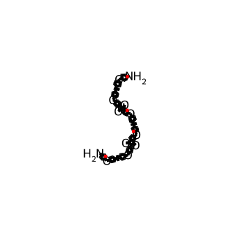 CC(C)(c1ccc(Oc2ccc(N)cc2)cc1)c1ccc(Oc2ccc(N3C(=O)c4ccc(Oc5ccc(C(C)(C)c6ccc(Oc7ccc8c(c7)C(=O)N(c7ccc(Oc9ccc(C(C)(C)c%10ccc(Oc%11ccc(N)cc%11)cc%10)cc9)cc7)C8=O)cc6)cc5)cc4C3=O)cc2)cc1